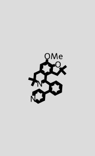 COc1cc2c(c3c1OC(C)(C)C3)C(c1ccccc1-c1ccncc1)=NC(C)(C)C2